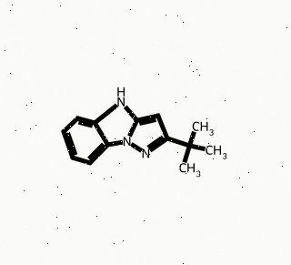 CC(C)(C)c1cc2[nH]c3ccccc3n2n1